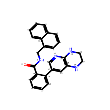 O=C(NCc1cccc2ccccc12)c1ccccc1-c1cnc2c(c1)NCCN2